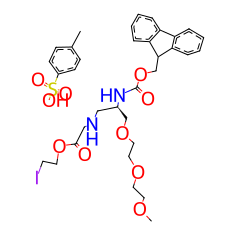 COCCOCCOC[C@@H](CNCC(=O)OCCI)NC(=O)OCC1c2ccccc2-c2ccccc21.Cc1ccc(S(=O)(=O)O)cc1